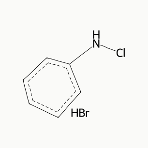 Br.ClNc1ccccc1